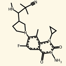 CNC(C1CCN(c2c(F)cc3c(=O)n(N)c(=O)n(C4CC4)c3c2C)C1)C(C)(C)C#N